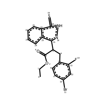 CCOC(=O)C(Cc1ccc(Br)cc1F)c1n[nH]c(=S)c2ccccc12